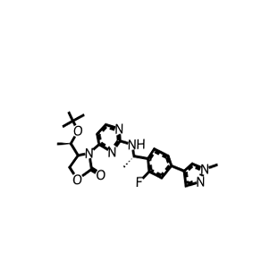 C[C@H](Nc1nccc(N2C(=O)OCC2[C@@H](C)OC(C)(C)C)n1)c1ccc(-c2cnn(C)c2)cc1F